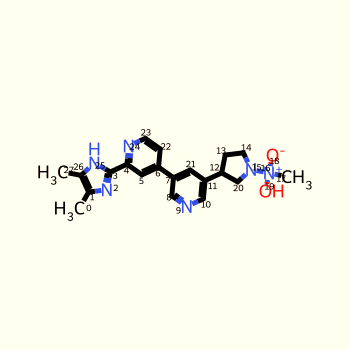 Cc1nc(-c2cc(-c3cncc(C4CCN([N+](C)([O-])O)C4)c3)ccn2)[nH]c1C